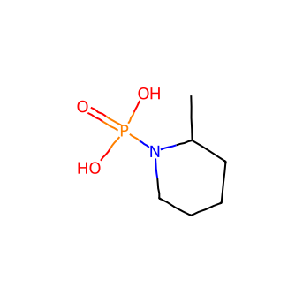 CC1CCCCN1P(=O)(O)O